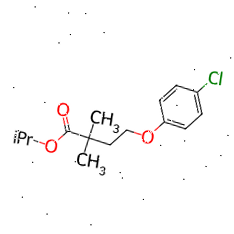 CC(C)OC(=O)C(C)(C)CCOc1ccc(Cl)cc1